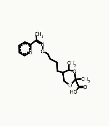 CC(=NOCCCCC1COC(C)(C(=O)O)OC1C)c1ccccn1